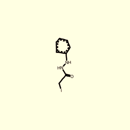 O=C(CI)NNc1ccccc1